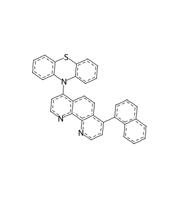 c1ccc2c(c1)Sc1ccccc1N2c1ccnc2c1ccc1c(-c3cccc4ccccc34)ccnc12